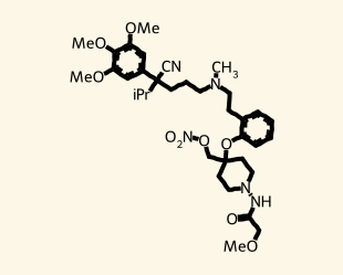 COCC(=O)NN1CCC(CO[N+](=O)[O-])(Oc2ccccc2CCN(C)CCCC(C#N)(c2cc(OC)c(OC)c(OC)c2)C(C)C)CC1